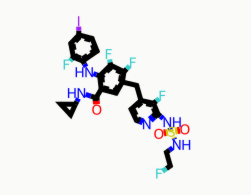 O=C(NC1CC1)c1cc(Cc2ccnc(NS(=O)(=O)NCCF)c2F)c(F)c(F)c1Nc1ccc(I)cc1F